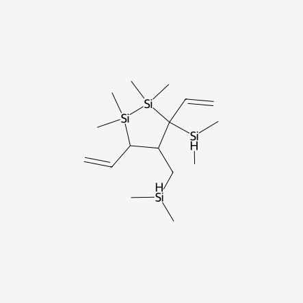 C=CC1C(C[SiH](C)C)C(C=C)([SiH](C)C)[Si](C)(C)[Si]1(C)C